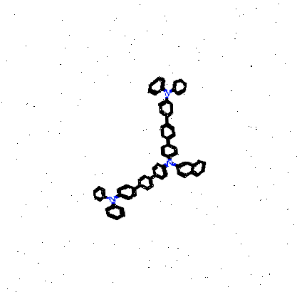 C1=CC(N(C2=CC=C(c3ccc(-c4ccc(N(c5ccc(-c6ccc(-c7ccc(N(c8ccccc8)c8ccccc8)cc7)cc6)cc5)c5ccc6ccccc6c5)cc4)cc3)CC2)c2ccccc2)=CCC1